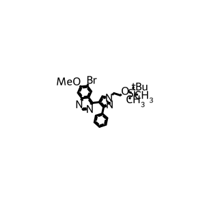 COc1cc2ncnc(-c3cn(CCO[Si](C)(C)C(C)(C)C)nc3-c3ccccc3)c2cc1Br